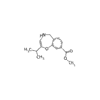 COC(=O)c1ccc2c(c1)OC(C(C)C)=CNC2